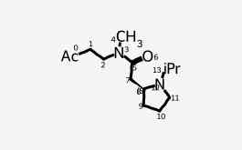 CC(=O)CCN(C)C(=O)C[C@@H]1CCCN1C(C)C